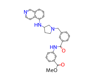 COC(=O)c1cccc(NC(=O)c2cccc(CN3CCC(Nc4cccc5cnccc45)C3)c2)c1